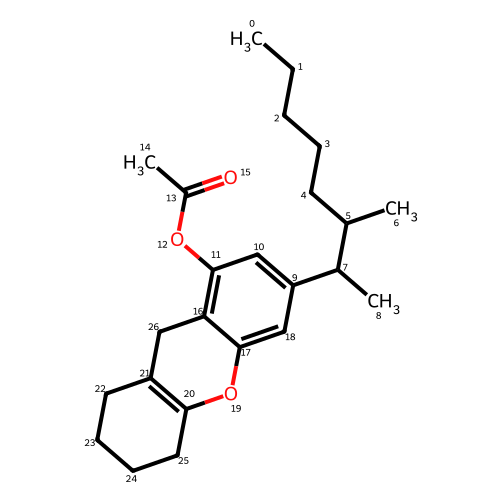 CCCCCC(C)C(C)c1cc(OC(C)=O)c2c(c1)OC1=C(CCCC1)C2